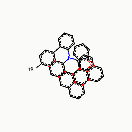 CC(C)(C)c1ccc(-c2ccccc2N(c2ccccc2-c2cccc3cccc(-c4ccccc4)c23)c2ccccc2-c2cccc3oc4ccccc4c23)cc1